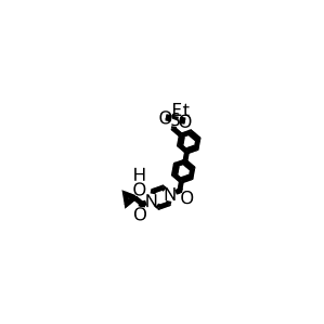 CCS(=O)(=O)Cc1cccc(-c2ccc(C(=O)N3CCN(C(=O)C4(O)CC4)CC3)cc2)c1